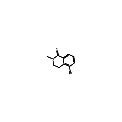 CN1CCc2c(Br)cccc2C1=O